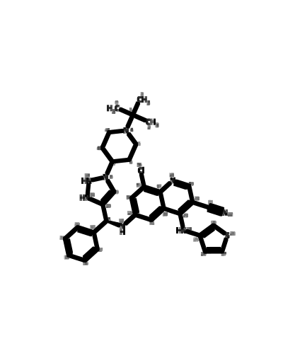 CC(C)(C)N1CCC(N2C=C([C@@H](Nc3cc(Cl)c4ncc(C#N)c(Nc5ccsc5)c4c3)c3ccccc3)NN2)CC1